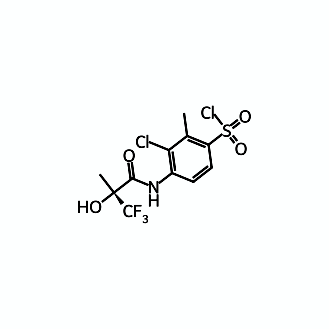 Cc1c(S(=O)(=O)Cl)ccc(NC(=O)[C@@](C)(O)C(F)(F)F)c1Cl